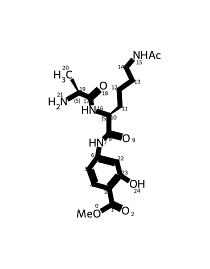 COC(=O)c1ccc(NC(=O)[C@H](CCCCNC(C)=O)NC(=O)[C@H](C)N)cc1O